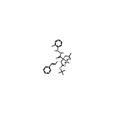 Cc1ccccc1NNC(=O)[C@@](CC(C)C)([C@@H](CC=Cc1ccccc1)C(=O)OC(C)(C)C)S(C)(=O)=O